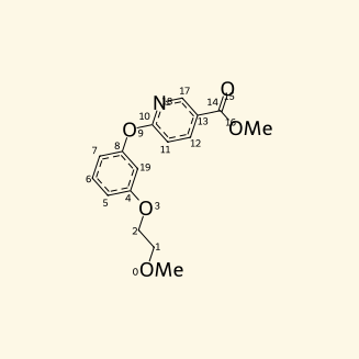 COCCOc1cccc(Oc2ccc(C(=O)OC)cn2)c1